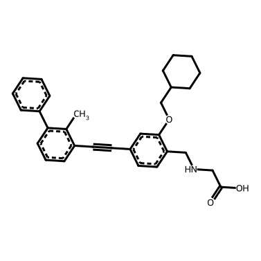 Cc1c(C#Cc2ccc(CNCC(=O)O)c(OCC3CCCCC3)c2)cccc1-c1ccccc1